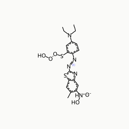 CCN(CC)c1ccc(/N=N/c2nc3cc([NH+]([O-])O)c(C)cc3s2)c(SOOO)c1